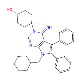 C[C@]1(n2cnc3c(c(-c4ccccc4)c(-c4ccccc4)n3CC3CCCCC3)c2=N)CC[C@H](O)CC1